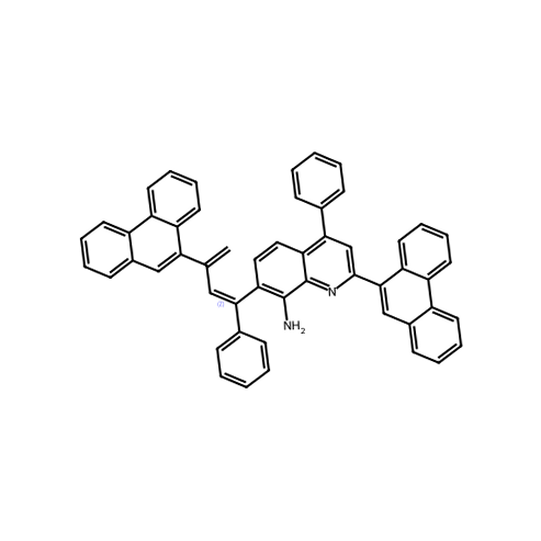 C=C(/C=C(/c1ccccc1)c1ccc2c(-c3ccccc3)cc(-c3cc4ccccc4c4ccccc34)nc2c1N)c1cc2ccccc2c2ccccc12